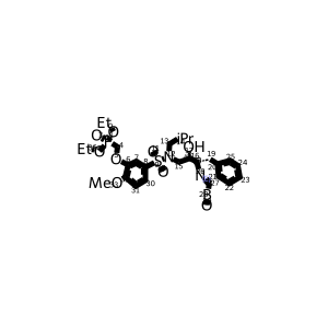 CCOP(=O)(COc1cc(S(=O)(=O)N(CC(C)C)C[C@@H](O)[C@H](Cc2ccccc2)/N=C/B=O)ccc1OC)OCC